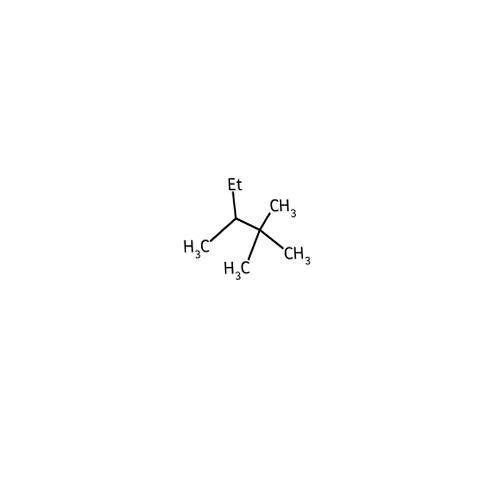 [CH2]CC(C)C(C)(C)C